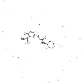 O=C(COc1ccc(Cl)c([N+](=O)O)c1)NC1CCCCC1